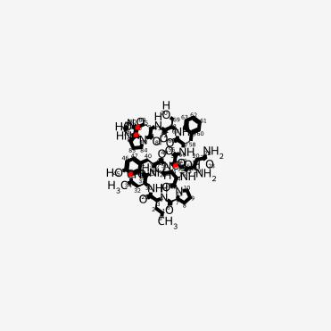 CCC[C@H](NC(=O)[C@@H]1CCCN1C(=O)[C@@H](NC(=O)[C@H](N)CC(N)=O)[C@@H](C)CC)C(=O)N[C@@H](CC(C)C)C(=O)N[C@@H](Cc1ccc(O)cc1)C(=O)N[C@H](CO)C(=O)N[C@@H](Cc1ccccc1)C(=O)N[C@H](CO)C(=O)N[C@@H](Cc1c[nH]cn1)C(=O)N1CCC[C@H]1C(=O)O